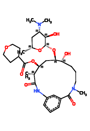 C[C@@H]1C[C@H](N(C)C)[C@@H](O)[C@H](O[C@@H]2C[C@H](OC(=O)C3CCOCC3)[C@@H](C)C(=O)Nc3cccc(c3)C(=O)N(C)CCC[C@H]2O)O1